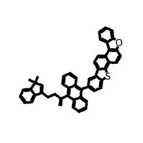 C=C(CCC1=CC(C)(C)c2ccccc21)c1c2ccccc2c(-c2ccc3sc4c(ccc5c4ccc4oc6ccccc6c45)c3c2)c2ccccc12